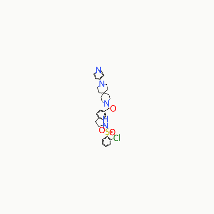 O=C(c1ccc2c(c1)C(NS(=O)(=O)c1ccccc1Cl)CC2)N1CCC2(CC1)CCN(c1ccncc1)CC2